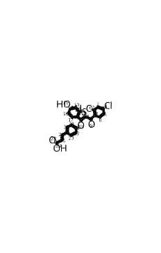 Cc1cc(Cl)ccc1C(=O)c1sc2cc(O)ccc2c1Oc1ccc(/C=C/C(=O)O)cc1